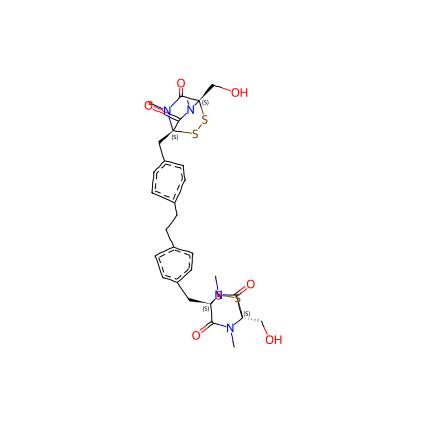 CN1C(=O)[C@]2(Cc3ccc(CCc4ccc(C[C@@]56SS[C@@](CO)(C(=O)N5C)N(C)C6=O)cc4)cc3)SS[C@@]1(CO)C(=O)N2C